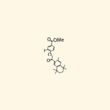 COC(=O)c1ccc(OCC(=O)c2cc3c(cc2C)C(C)(C)CCC3(C)C)c(I)c1